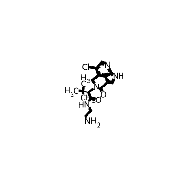 CC(C)(C)[C@H](C(=O)NCCN)N1Cc2c(Cl)cnc3[nH]cc(c23)C1=O